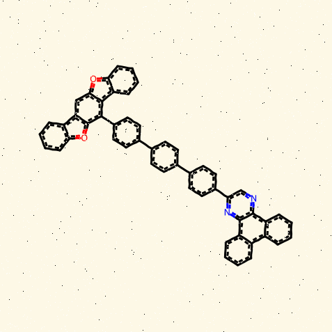 c1ccc2c(c1)oc1c(-c3ccc(-c4ccc(-c5ccc(-c6cnc7c8ccccc8c8ccccc8c7n6)cc5)cc4)cc3)c3c(cc12)oc1ccccc13